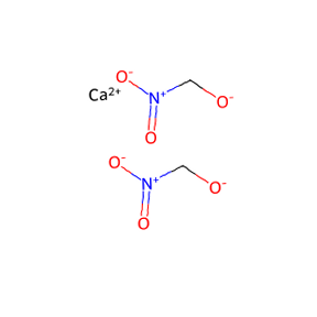 O=[N+]([O-])C[O-].O=[N+]([O-])C[O-].[Ca+2]